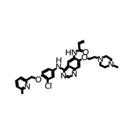 C=CC(=O)Nc1cc2c(Nc3ccc(OCc4cccc(C)n4)c(Cl)c3)ncnc2cc1OCCN1CCN(C)CC1